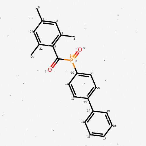 Cc1cc(C)c(C(=O)[PH](=O)c2ccc(-c3ccccc3)cc2)c(C)c1